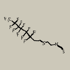 FC(F)(F)C(F)(F)C(F)(F)C(F)(F)C(F)(F)C(F)(F)CCSCCN=C=S